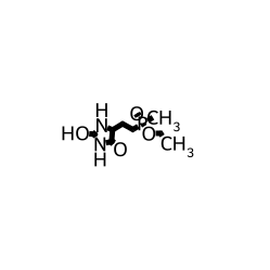 CCOP(C)(=O)CCC1NC(O)NC1=O